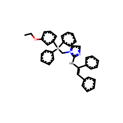 CCOc1cccc([Si](Cn2ccnc2BC(=Cc2ccccc2)c2ccccc2)(c2ccccc2)c2ccccc2)c1